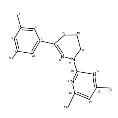 Cc1cc(C)cc(C2=NN(c3nc(C)cc(C)n3)CCC2)c1